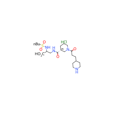 CCCCS(=O)(=O)NC(CNC(=O)[C@@H]1CCCN(C(=O)CCC2CCNCC2)C1)C(=O)O.Cl